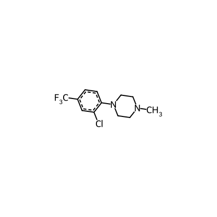 CN1CCN(c2ccc(C(F)(F)F)cc2Cl)CC1